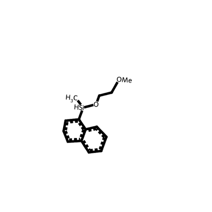 COCCO[SiH](C)c1cccc2ccccc12